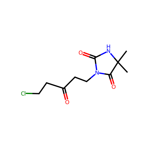 CC1(C)NC(=O)N(CCC(=O)CCCl)C1=O